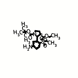 CCOC(=O)[C@@H]1CCN(C(=O)OC(C)(C)C)C1c1cc(N)ccc1S(=O)(=O)CC